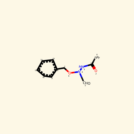 CCCC(=O)NN(C=O)OCc1ccccc1